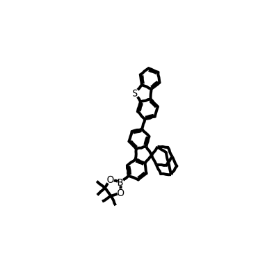 CC1(C)OB(c2ccc3c(c2)-c2ccc(-c4ccc5c(c4)sc4ccccc45)cc2C32C3CC4CC(C3)CC2C4)OC1(C)C